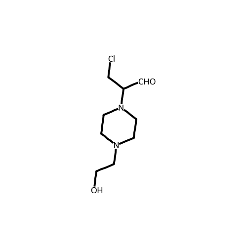 O=CC(CCl)N1CCN(CCO)CC1